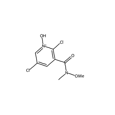 CON(C)C(=O)c1cc(Cl)c[n+](O)c1Cl